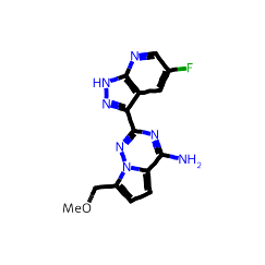 COCc1ccc2c(N)nc(-c3n[nH]c4ncc(F)cc34)nn12